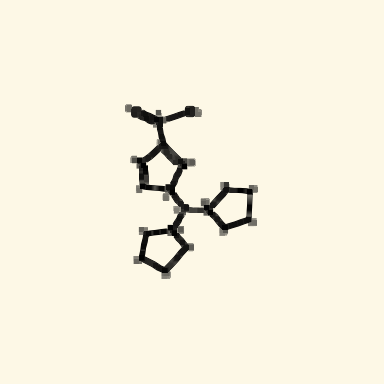 O=[N+]([O-])c1ncn(P(N2CCCC2)N2CCCC2)n1